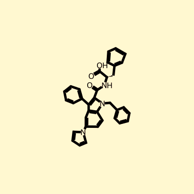 O=C(N[C@@H](Cc1ccccc1)C(=O)O)c1c(-c2ccccc2)c2cc(-n3cccc3)ccc2n1Cc1ccccc1